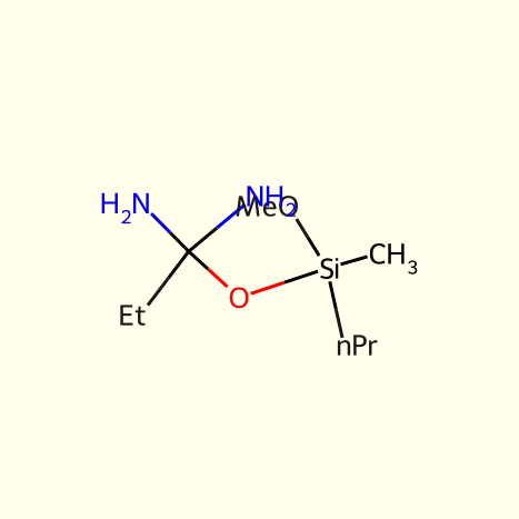 CCC[Si](C)(OC)OC(N)(N)CC